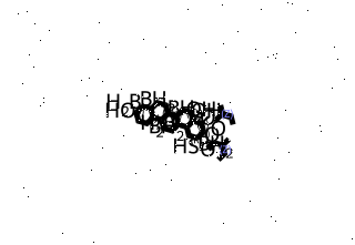 BC1(B)C2CC[C@]3(B)C(CC=C4C5C[C@@](B)(S)[C@@H](OC(=O)/C(C)=C\C)[C@H](OC(=O)/C(C)=C\C)[C@]5(CO)[C@H](O)C[C@]43B)[C@@]2(B)CC[C@@H]1O